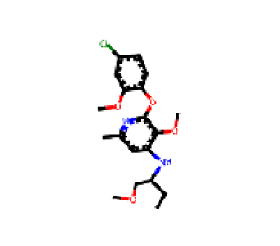 CCC(COC)Nc1cc(C)nc(Oc2ccc(Cl)cc2OC)c1OC